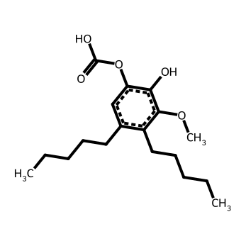 CCCCCc1cc(OC(=O)O)c(O)c(OC)c1CCCCC